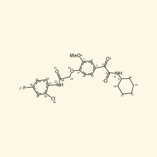 COc1cc(C(=O)C(=O)NC2CCCCC2)ccc1OCC(=O)Nc1ccc(F)cc1Cl